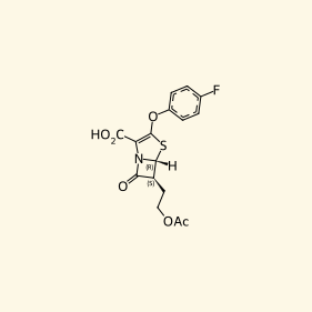 CC(=O)OCC[C@H]1C(=O)N2C(C(=O)O)=C(Oc3ccc(F)cc3)S[C@H]12